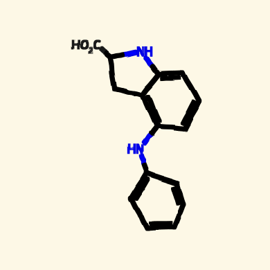 O=C(O)C1Cc2c(Nc3ccccc3)cccc2N1